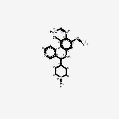 C=Nc1cc(NC(c2cccnc2)C2CCN(C(C)=O)CC2)cc(Cl)c1/N=C\C